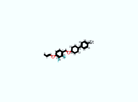 C/C=C/Oc1ccc(COC2CCC(c3ccc(CC)cc3)CC2)c(F)c1F